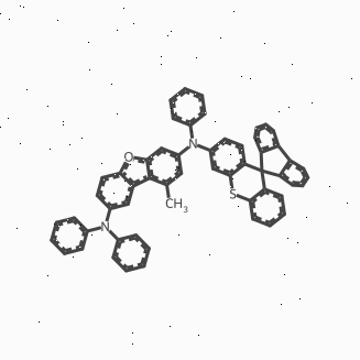 Cc1cc(N(c2ccccc2)c2ccc3c(c2)Sc2ccccc2C32c3ccccc3-c3ccccc32)cc2oc3ccc(N(c4ccccc4)c4ccccc4)cc3c12